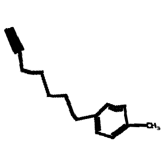 [C]#CCCCCCc1ccc(C)cc1